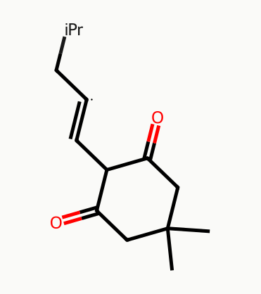 CC(C)C[C]=CC1C(=O)CC(C)(C)CC1=O